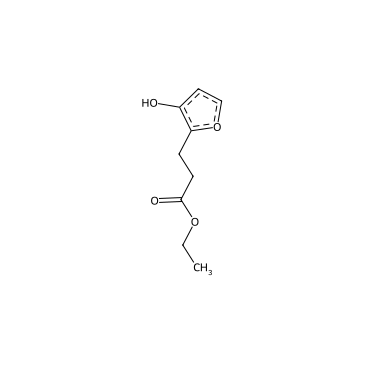 CCOC(=O)CCc1occc1O